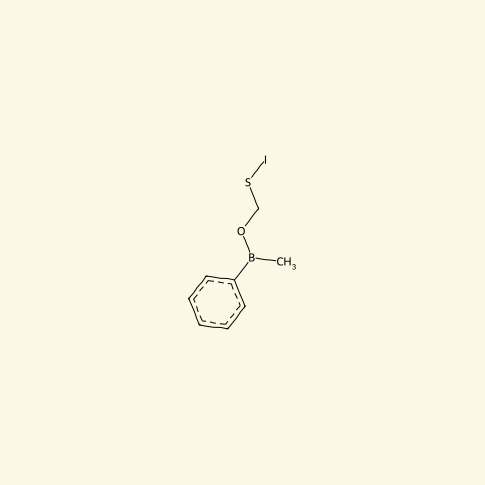 CB(OCSI)c1ccccc1